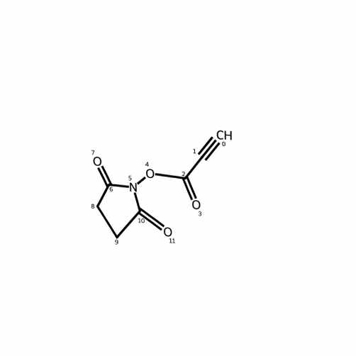 C#CC(=O)ON1C(=O)CCC1=O